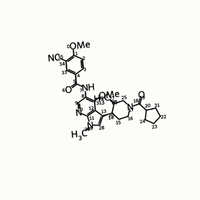 COc1ccc(C(=O)Nc2cnc3c(c([C@@H]4CCN(C(=O)C5CCCC5)C[C@@H]4C)cn3C)c2OC)cc1C#N